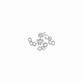 CC1C=Cc2c(oc3c2c(-c2cc(-c4nc(C5=CCCC=C5)nc(-c5ccc6ccc7ccccc7c6c5)n4)c4c(c2)oc2ccccc24)cc2ccccc23)C1